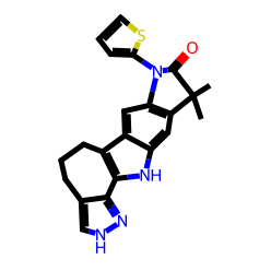 CC1(C)C(=O)N(c2cccs2)c2cc3c4c([nH]c3cc21)-c1n[nH]cc1CCC4